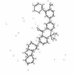 CC1(C)c2ccc(-c3ccc(S)c(C4=CC=CCC4)c3)cc2C(=O)c2cc(-c3ccc4sc5ccccc5c4c3)ccc21